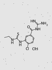 CCNC(=S)Nc1cc(C(=O)NC(=N)N)ccc1Cl.Cl